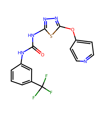 O=C(Nc1cccc(C(F)(F)F)c1)Nc1nnc(Oc2ccncc2)s1